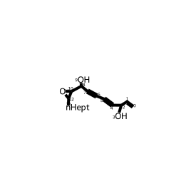 C=CC(O)C#CC#CC(O)C1OC1CCCCCCC